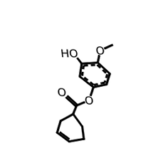 COc1ccc(OC(=O)C2CC=CCC2)cc1O